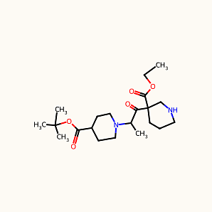 CCOC(=O)C1(C(=O)C(C)N2CCC(C(=O)OC(C)(C)C)CC2)CCCNC1